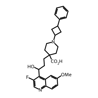 COc1ccc2ncc(F)c(C(O)CCC3(C(=O)O)CCN(C4CC(c5ccccc5)C4)CC3)c2c1